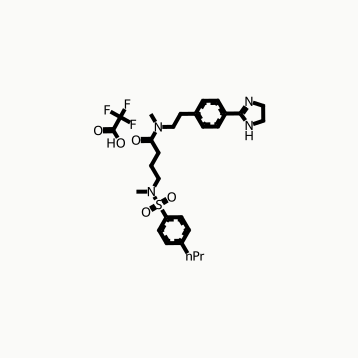 CCCc1ccc(S(=O)(=O)N(C)CCCC(=O)N(C)CCc2ccc(C3=NCCN3)cc2)cc1.O=C(O)C(F)(F)F